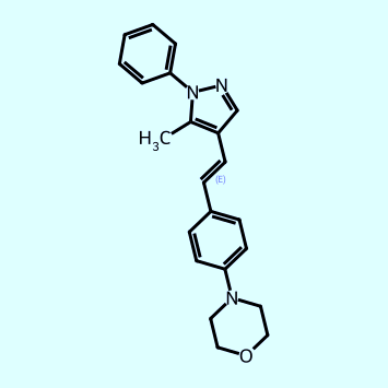 Cc1c(/C=C/c2ccc(N3CCOCC3)cc2)cnn1-c1ccccc1